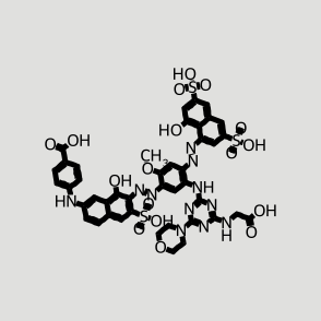 COc1cc(N=Nc2cc(S(=O)(=O)O)cc3cc(S(=O)(=O)O)cc(O)c23)c(Nc2nc(NCC(=O)O)nc(N3CCOCC3)n2)cc1N=Nc1c(S(=O)(=O)O)cc2ccc(Nc3ccc(C(=O)O)cc3)cc2c1O